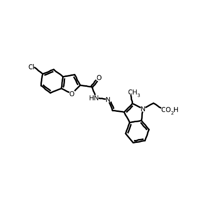 Cc1c(C=NNC(=O)c2cc3cc(Cl)ccc3o2)c2ccccc2n1CC(=O)O